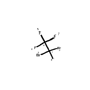 [CH2]C(Br)(Br)C(F)(F)F